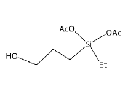 CC[Si](CCCO)(OC(C)=O)OC(C)=O